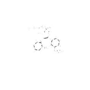 CCCCCCOP(=O)(O)OC1=Cc2ccccc2Sc2c(OC)cccc21